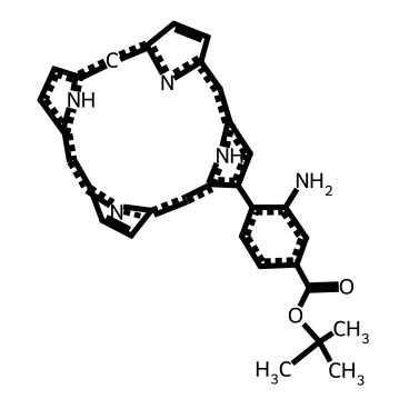 CC(C)(C)OC(=O)c1ccc(-c2cc3cc4nc(cc5ccc(cc6nc(cc2[nH]3)C=C6)[nH]5)C=C4)c(N)c1